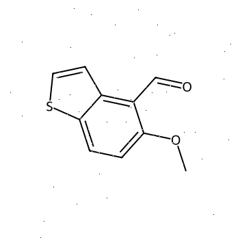 COc1ccc2sccc2c1C=O